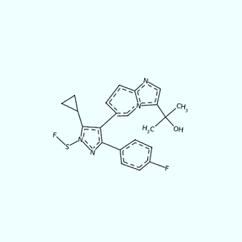 CC(C)(O)c1cnc2ccc(-c3c(-c4ccc(F)cc4)nn(SF)c3C3CC3)cn12